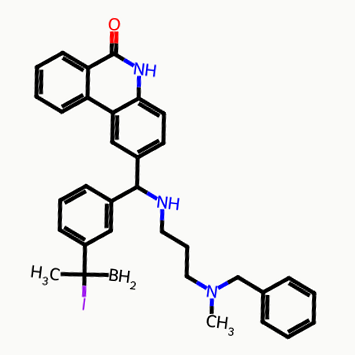 BC(C)(I)c1cccc(C(NCCCN(C)Cc2ccccc2)c2ccc3[nH]c(=O)c4ccccc4c3c2)c1